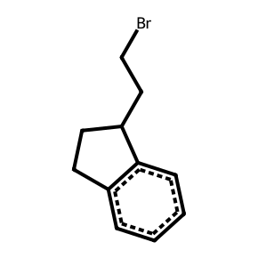 BrCCC1CCc2ccccc21